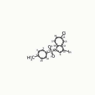 Cc1ccc(S(=O)(=O)n2cc(I)c3cc(Cl)ccc32)cc1